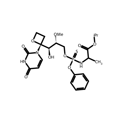 CO[C@H](COP(=S)(NC(C)C(=O)OC(C)C)Oc1ccccc1)[C@@H](O)[C@@]1(n2ccc(=O)[nH]c2=O)CCO1